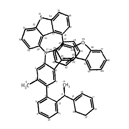 Cc1cc2c(cc1-c1ccccc1[C@@H](C)C1=CC=CCC1)c1ccccc1n2-c1cccc2sc3cccc(-c4cccc5c4oc4ccccc45)c3c12